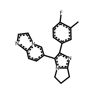 Cc1cc(-c2nc3n(c2-c2ccc4nccn4c2)CCC3)ccc1F